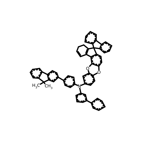 CC1(C)c2ccccc2-c2ccc(-c3ccc(N(c4cccc(-c5ccccc5)c4)c4ccc5c(c4)Oc4c(ccc6c4C4=C(CCC=C4)C64c6ccccc6-c6ccccc64)O5)cc3)cc21